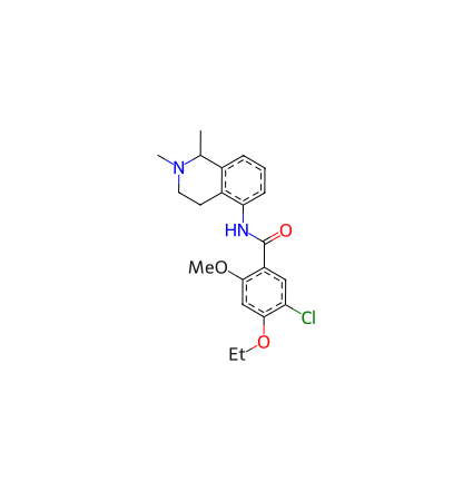 CCOc1cc(OC)c(C(=O)Nc2cccc3c2CCN(C)C3C)cc1Cl